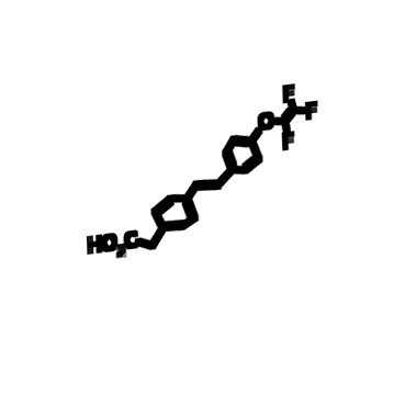 O=C(O)Cc1ccc(C=Cc2ccc(OC(F)=C(F)F)cc2)cc1